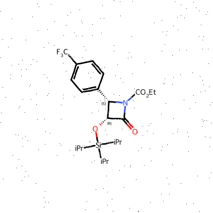 CCOC(=O)N1C(=O)[C@H](O[Si](C(C)C)(C(C)C)C(C)C)[C@@H]1c1ccc(C(F)(F)F)cc1